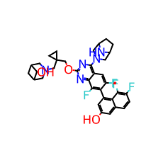 Oc1cc(-c2c(F)cc3c(N4CC5CCC(C4)N5)nc(OCC4(CN5CC6CC(C5)C6O)CC4)nc3c2F)c2c(F)c(F)ccc2c1